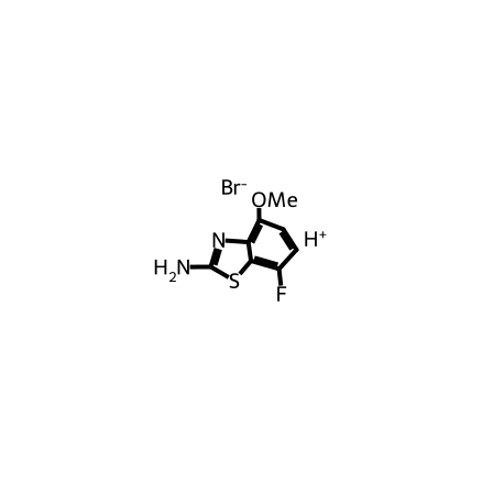 COc1ccc(F)c2sc(N)nc12.[Br-].[H+]